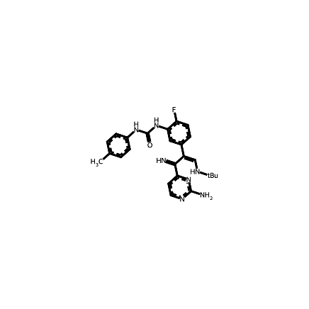 Cc1ccc(NC(=O)Nc2cc(/C(=C/NC(C)(C)C)C(=N)c3ccnc(N)n3)ccc2F)cc1